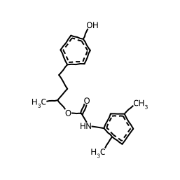 Cc1ccc(C)c(NC(=O)OC(C)CCc2ccc(O)cc2)c1